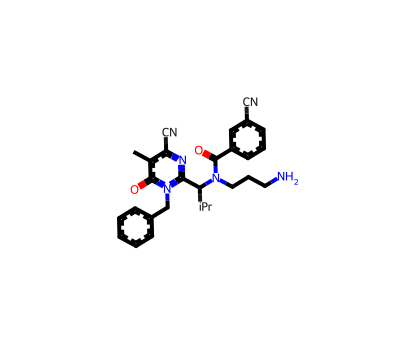 Cc1c(C#N)nc(C(C(C)C)N(CCCN)C(=O)c2cccc(C#N)c2)n(Cc2ccccc2)c1=O